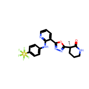 C[C@@]1(c2nnc(-c3cccnc3Nc3ccc(S(F)(F)(F)(F)F)cc3)o2)CCCNC1=O